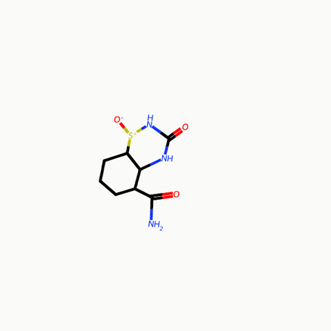 NC(=O)C1CCCC2C1NC(=O)N[S+]2[O-]